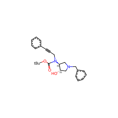 CC(C)(C)OC(=O)N(CC#Cc1ccccc1)[C@H]1CN(Cc2ccccc2)C[C@@H]1O